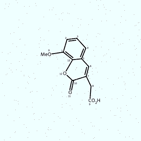 COc1cccc2cc(CC(=O)O)c(=O)oc12